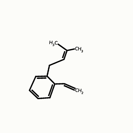 C=[C]c1ccccc1CC=C(C)C